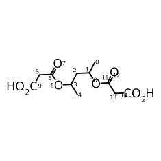 CC(CC(C)OC(=O)CC(=O)O)OC(=O)CC(=O)O